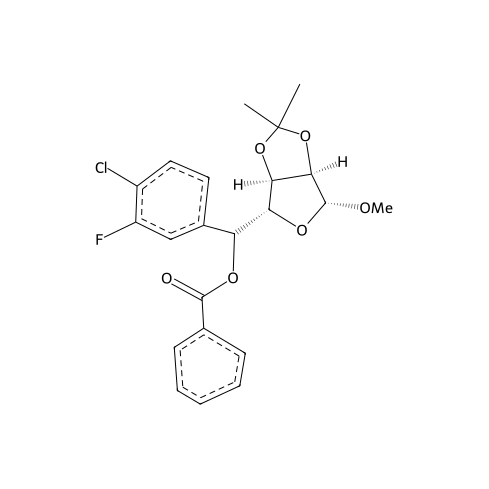 CO[C@@H]1O[C@H](C(OC(=O)c2ccccc2)c2ccc(Cl)c(F)c2)[C@H]2OC(C)(C)O[C@@H]12